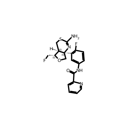 NC1=N[C@@]2(c3cc(NC(=O)c4ccccn4)ccc3F)CO[C@H](CF)[C@H]2CS1